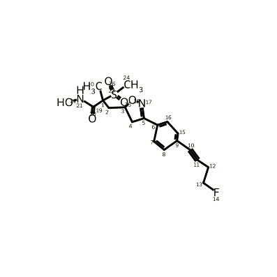 CC(CC1CC(c2ccc(C#CCCF)cc2)=NO1)(C(=O)NO)S(C)(=O)=O